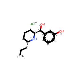 CCC[C@@H]1CCC[C@@H](C(O)c2cccc(O)c2)N1.Cl